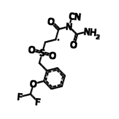 N#CN(C(N)=O)C(=O)[CH]CS(=O)(=O)Cc1ccccc1OC(F)F